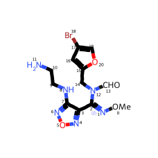 CO/N=C(/c1nonc1NCCN)N(C=O)Cc1cc(Br)co1